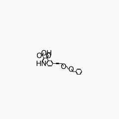 O=C(O)c1c[nH]c2ccc(C#CCOCCOCc3ccccc3)cc2c1=O